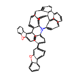 c1ccc(-c2cccc3cccc(-c4ccccc4N(c4ccc(-c5ccc6c(c5)oc5ccccc56)cc4)c4ccccc4-c4cccc5oc6ccccc6c45)c23)cc1